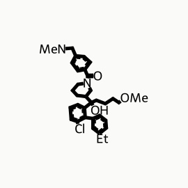 CCc1cccc(-c2c(Cl)cccc2C(O)(CCCCOC)C2CCCN(C(=O)c3ccc(CNC)cc3)C2)c1